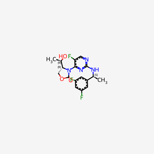 C[C@H](Nc1ncc(F)c(N2C(=O)OC[C@@H]2[C@@H](C)O)n1)c1cc(F)cc(F)c1